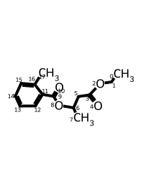 CCOC(=O)CC(C)OC(=O)c1ccccc1C